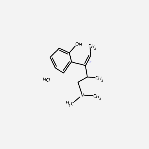 C/C=C(\c1ccccc1O)C(C)CN(C)C.Cl